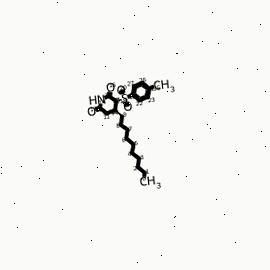 CCCCCCCCCC[C@H]1CC(=O)NC(=O)[C@@H]1S(=O)(=O)c1ccc(C)cc1